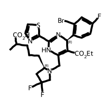 CCOC(=O)C1=C(CN2CC(F)(F)C[C@H]2CCCC(C)C(=O)O)NC(c2nccs2)=N[C@H]1c1ccc(F)cc1Br